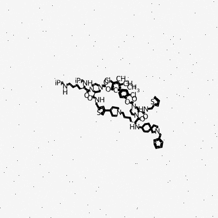 Cc1ccc(OC(=O)N2CCN(C(=O)[C@@H](CCCCNC(C)C)NC(C)C)[C@H](C(=O)NCc3cc(C4CCN(CCCC[C@@H](NC5CCC6(CC5)CCN(Cc5ccccc5)C6)C(=O)N5CCN(C(=O)Oc6cccc(C)c6Cl)C[C@H]5C(=O)NCc5cccs5)CC4)cs3)C2)c(Cl)c1C